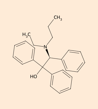 CCCN(CC)[C@@H](c1ccccc1)C(O)(c1ccccc1)c1ccccc1